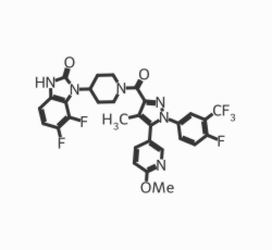 COc1ccc(-c2c(C)c(C(=O)N3CCC(n4c(=O)[nH]c5ccc(F)c(F)c54)CC3)nn2-c2ccc(F)c(C(F)(F)F)c2)cn1